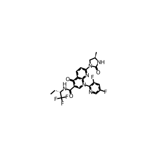 CC[C@H](NC(=O)c1cn(-c2ncc(F)cc2F)c2nc(N3C[C@@H](C)NC3=O)ccc2c1=O)C(F)(F)F